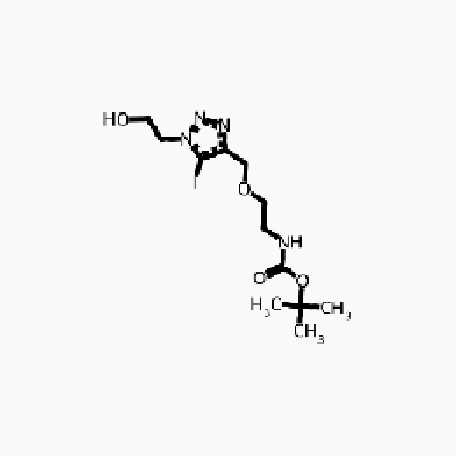 CC(C)(C)OC(=O)NCCOCc1nnn(CCO)c1I